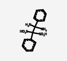 NC(N)(c1ccccc1)C(c1ccccc1)(S(=O)(=O)O)S(=O)(=O)O